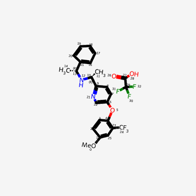 COc1ccc(Oc2ccc([C@@H](C)N[C@H](C)c3ccccc3)nc2)c(C(F)(F)F)c1.O=C(O)C(F)(F)F